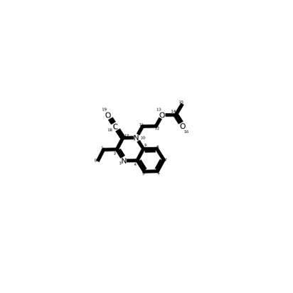 CCC1=Nc2ccccc2N(CCOC(C)=O)C1=C=O